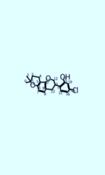 CC1(C)CCc2c(ccc3c2OCC(c2ccc(Cl)cc2O)C3)O1